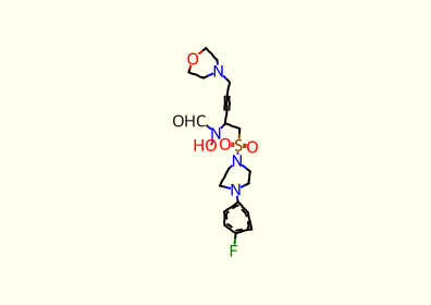 O=CN(O)C(C#CCN1CCOCC1)CS(=O)(=O)N1CCN(c2ccc(F)cc2)CC1